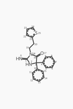 N=C1NC(c2ccccc2)(c2ccccc2)C(=O)N1CCc1cccs1